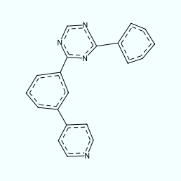 c1ccc(-c2ncnc(-c3cccc(-c4ccncc4)c3)n2)cc1